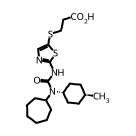 C[C@H]1CC[C@H](N(C(=O)Nc2ncc(SCCC(=O)O)s2)C2CCCCCC2)CC1